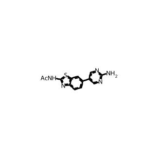 CC(=O)Nc1nc2ccc(-c3cnc(N)nc3)cc2s1